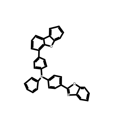 c1ccc(N(c2ccc(-c3nc4ccccc4o3)cc2)c2ccc(-c3cccc4c3oc3ccccc34)cc2)cc1